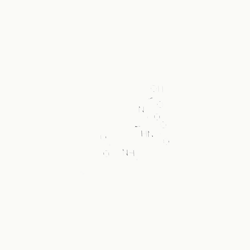 CC(C)(C)OC(=O)N[C@@H](CCCC(N)C(=O)OCc1ccccc1)C(=O)N1CCC[C@H]1C(=O)O